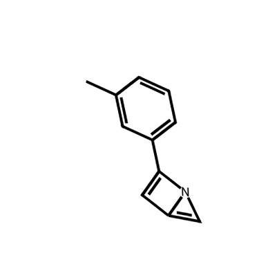 Cc1cccc(-c2cc3cn2-3)c1